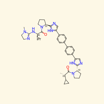 CC(C)[C@@H](NC1=NCCN1C)C(=O)N1CCC[C@H]1c1ncc(-c2ccc(-c3ccc(-c4cnc([C@@H]5CCCN5C(=O)[C@@H](C)C5CC5)[nH]4)cc3)cc2)[nH]1